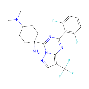 CN(C)C1CCC(N)(c2nc(-c3c(F)cccc3F)nc3c(C(F)(F)F)cnn23)CC1